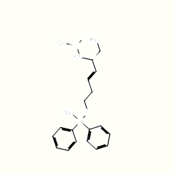 CC(C)C[C@@H](/C=C/CCO[Si](c1ccccc1)(c1ccccc1)C(C)(C)C)N[S@+]([O-])C(C)(C)C